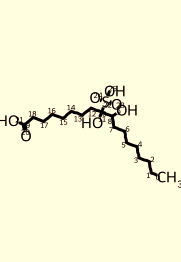 CCCCCCCCC(O)C(O)(CCCCCCCC(=O)O)S(=O)(=O)O